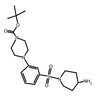 CC(C)(C)OC(=O)N1CCN(c2cccc(S(=O)(=O)N3CCC(N)CC3)c2)CC1